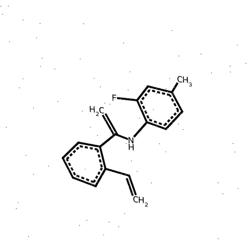 C=Cc1ccccc1C(=C)Nc1ccc(C)cc1F